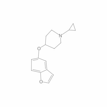 c1cc2cc(OC3CCN(C4CC4)CC3)ccc2o1